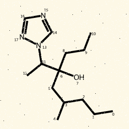 CCCC(C)CC(O)(CCC)C(C)n1cncn1